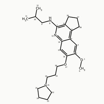 COc1cc2c3c(c(NCC(C)C)nc2cc1OCCCN1CCCC1)CCC3